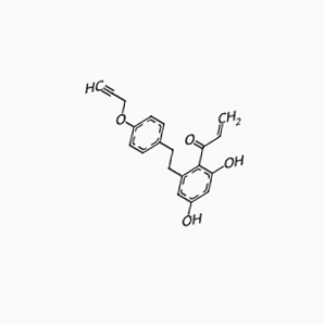 C#CCOc1ccc(CCc2cc(O)cc(O)c2C(=O)C=C)cc1